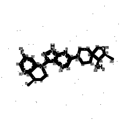 C[C@@H]1CCN(c2n[nH]c3nc(N4CCC5(CC4)CO[C@@H](C)[C@H]5N)cnc23)c2cc(F)cnc21